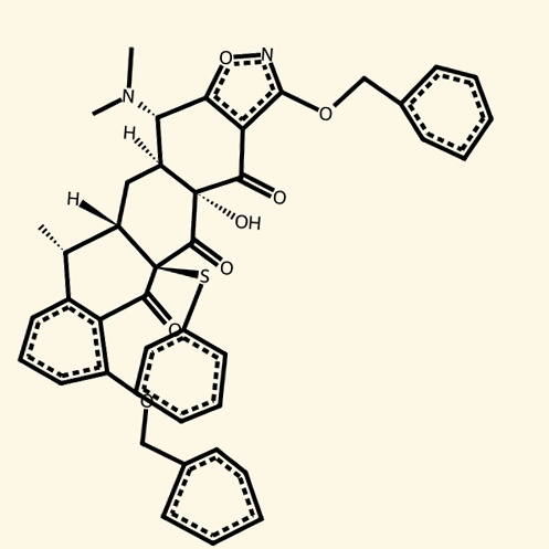 C[C@H]1c2cccc(OCc3ccccc3)c2C(=O)[C@@]2(Sc3ccccc3)C(=O)[C@]3(O)C(=O)c4c(OCc5ccccc5)noc4[C@@H](N(C)C)[C@@H]3C[C@@H]12